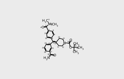 CN(C)C(=O)c1ccc(C(=C2CCN(C(=O)OC(C)(C)C)CC2)c2cccc(C(N)=O)c2)cc1